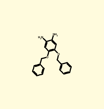 Nc1cc(OCc2ccccc2)c(OCc2ccccc2)cc1N